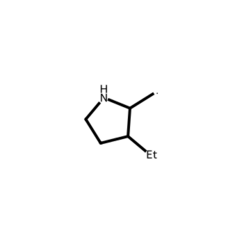 [CH2]C1NCCC1CC